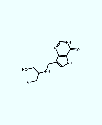 CC(C)CC(CO)NCc1c[nH]c2c(=O)[nH]cnc12